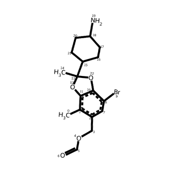 Cc1c(COC=O)cc(Br)c2c1OC(C)(C1CCC(N)CC1)O2